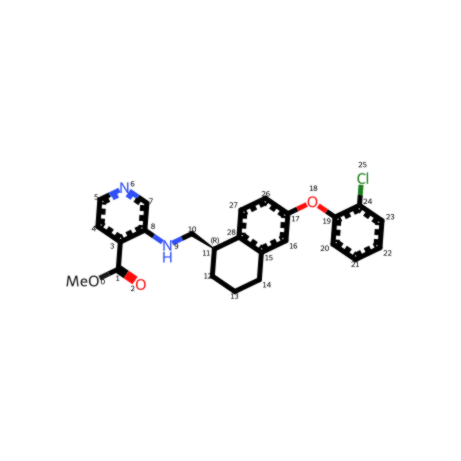 COC(=O)c1ccncc1NC[C@@H]1CCCc2cc(Oc3ccccc3Cl)ccc21